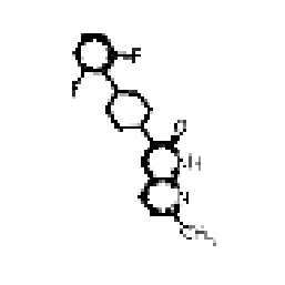 Cc1ccc2cc(C3CCC(c4c(F)cccc4F)CC3)c(=O)[nH]c2n1